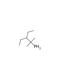 CCC(CC)C(C)(C)P